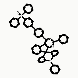 O=P(c1ccccc1)(c1ccccc1)c1ccc(-c2ccc(-c3nc(-c4ccccc4)nc4c3-c3ccccc3C43c4ccccc4N(c4ccccc4)c4ccccc43)cc2)cc1